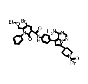 CCOCc1c(Br)cc(C(=O)Nc2ccc(-c3cc(C4CCN(C(=O)C(C)C)CC4)n4ncnc(N)c34)cc2)c(=O)n1-c1ccccc1